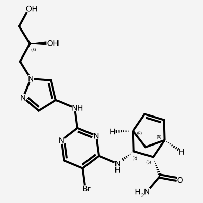 NC(=O)[C@@H]1[C@H](Nc2nc(Nc3cnn(C[C@H](O)CO)c3)ncc2Br)[C@H]2C=C[C@@H]1C2